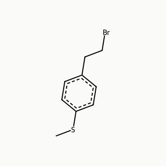 CSc1ccc(CCBr)cc1